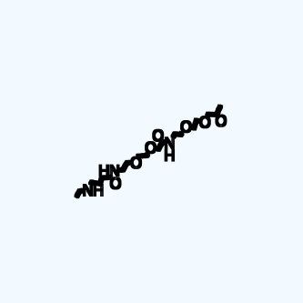 CCNCCCC(=O)NCCOCCOCC(=O)NCCOCCOCC(C)=O